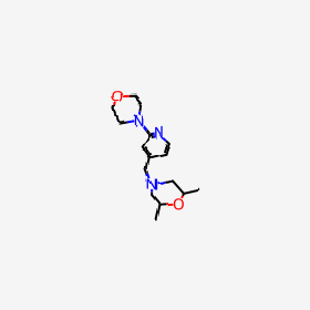 CC1CN(Cc2ccnc(N3CCOCC3)c2)CC(C)O1